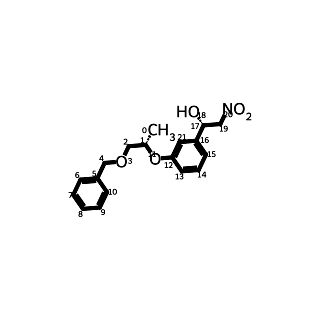 C[C@@H](COCc1ccccc1)Oc1cccc([C@H](O)C[N+](=O)[O-])c1